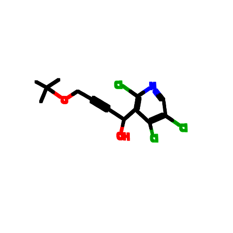 CC(C)(C)OCC#CC(O)c1c(Cl)ncc(Cl)c1Cl